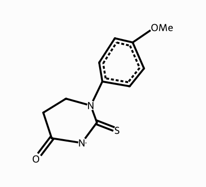 COc1ccc(N2CCC(=O)[N]C2=S)cc1